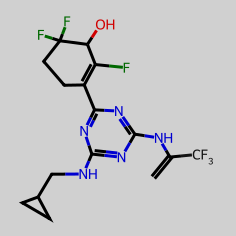 C=C(Nc1nc(NCC2CC2)nc(C2=C(F)C(O)C(F)(F)CC2)n1)C(F)(F)F